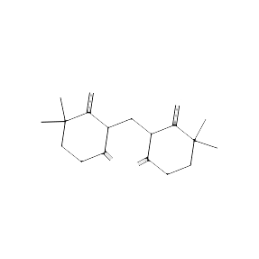 CC1(C)CCC(=O)C(CC2C(=O)CCC(C)(C)C2=O)C1=O